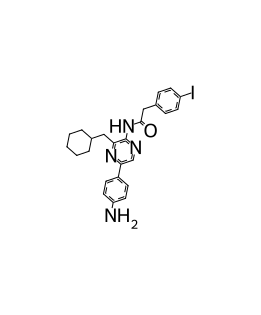 Nc1ccc(-c2cnc(NC(=O)Cc3ccc(I)cc3)c(CC3CCCCC3)n2)cc1